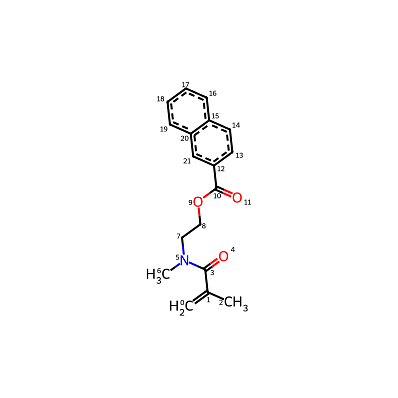 C=C(C)C(=O)N(C)CCOC(=O)c1ccc2ccccc2c1